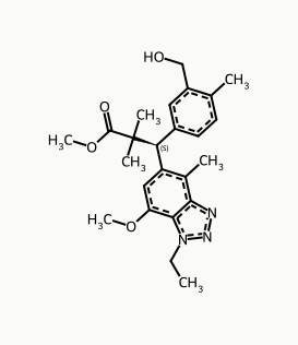 CCn1nnc2c(C)c([C@H](c3ccc(C)c(CO)c3)C(C)(C)C(=O)OC)cc(OC)c21